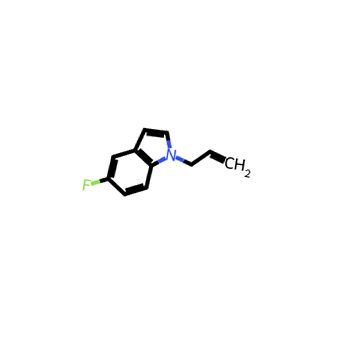 C=CCn1ccc2cc(F)ccc21